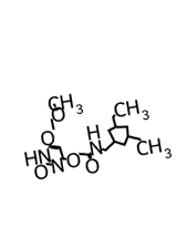 CCC1CC(CC)CC(CNC(=O)COc2cc(OCCOC)[nH]c(=O)n2)C1